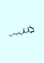 [CH2]CCCOC(=O)Oc1ccccc1